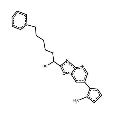 Cn1cccc1-c1cnc2nc(C(O)CCCCCc3ccccc3)oc2c1